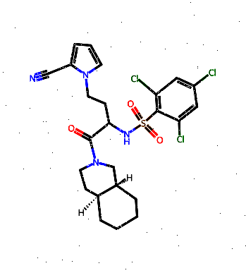 N#Cc1cccn1CCC(NS(=O)(=O)c1c(Cl)cc(Cl)cc1Cl)C(=O)N1CC[C@@H]2CCCC[C@H]2C1